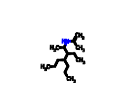 C=C(C)NC(C)C(CC)C(CCC)CCC